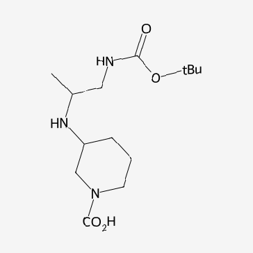 CC(CNC(=O)OC(C)(C)C)NC1CCCN(C(=O)O)C1